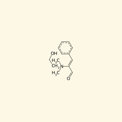 CCO.CN(C)C(C=O)=Cc1ccccc1